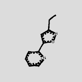 CCc1cc(-c2ccccn2)on1